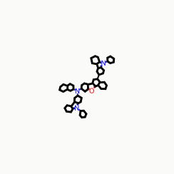 c1ccc(-n2c3ccccc3c3cc(-c4cc5c6ccc(N(c7ccc8ccccc8c7)c7ccc8c(c7)c7ccccc7n8-c7ccccc7)cc6oc5c5ccccc45)ccc32)cc1